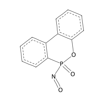 O=NP1(=O)Oc2ccccc2-c2ccccc21